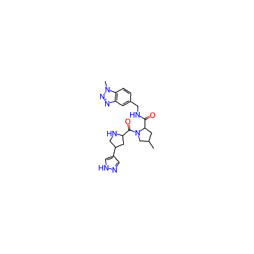 CC1CC(C(=O)NCc2ccc3c(c2)nnn3C)N(C(=O)C2CC(c3cn[nH]c3)CN2)C1